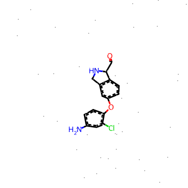 Nc1ccc(Oc2ccc3c(c2)CNC3C=O)c(Cl)c1